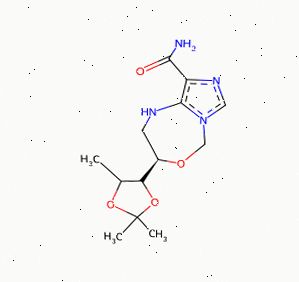 CC1OC(C)(C)OC1[C@H]1CNc2c(C(N)=O)ncn2CO1